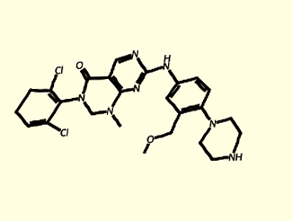 COCc1cc(Nc2ncc3c(n2)N(C)CN(C2=C(Cl)CCC=C2Cl)C3=O)ccc1N1CCNCC1